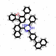 c1ccc(-c2ccc(-c3ccc4ccccc4c3C3N=C(c4ccc(-c5cccc6ccccc56)cc4)NC(c4ccccc4)N3)c3c2oc2ccccc23)cc1